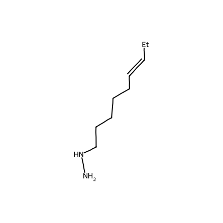 CCC=CCCCCCNN